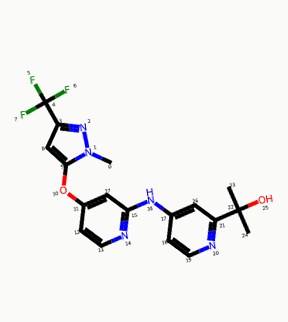 Cn1nc(C(F)(F)F)cc1Oc1ccnc(Nc2ccnc(C(C)(C)O)c2)c1